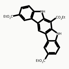 CCOC(=O)c1ccc2[nH]c3c(C(=O)OCC)c4[nH]c5ccc(C(=O)OCC)cc5c4cc3c2c1